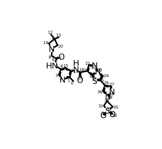 Cc1ncc(NC(=O)CN2CC(C)(C)C2)cc1NC(=O)c1cnn2cc(-c3cnn(C4CS(=O)(=O)C4)c3)sc12